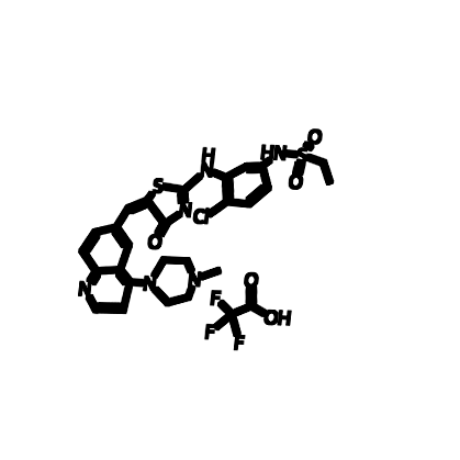 CCS(=O)(=O)Nc1ccc(Cl)c(NC2=NC(=O)C(=Cc3ccc4nccc(N5CCN(C)CC5)c4c3)S2)c1.O=C(O)C(F)(F)F